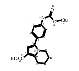 CCOC(=O)c1cc(-c2ccc(NC(=O)OC(C)(C)C)cc2)n2c1CCCC2